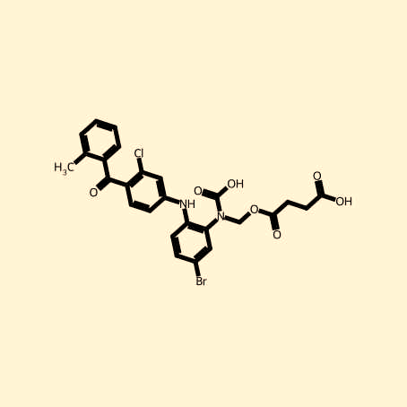 Cc1ccccc1C(=O)c1ccc(Nc2ccc(Br)cc2N(COC(=O)CCC(=O)O)C(=O)O)cc1Cl